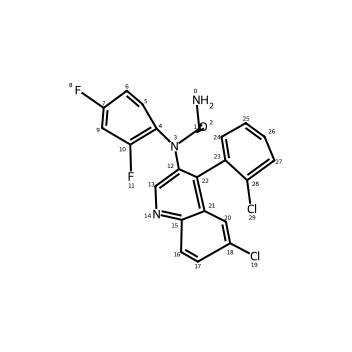 NC(=O)N(c1ccc(F)cc1F)c1cnc2ccc(Cl)cc2c1-c1ccccc1Cl